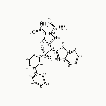 NC(=O)C1OC(C(c2nc3ccccc3s2)S(=O)(=O)C2CCOC(c3ccccc3)C2)=NN1C(N)=O